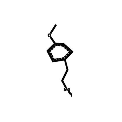 COc1ccc(C[CH2][Mg][I])cc1